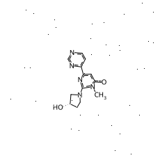 Cn1c(N2CC[C@H](O)C2)nc(-c2ccncn2)cc1=O